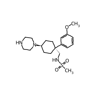 COc1cccc([C@]2(CNS(C)(=O)=O)CC[C@H](N3CCNCC3)CC2)c1